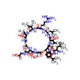 CC[C@H](C)[C@@H]1NC(=O)[C@@H](CCCNC(=N)N)NC(=O)[C@H](CC(C)C)NC(=O)[C@H]([C@H](O)C(C)C)NC(=O)[C@@H](NC(=O)[C@H](CC(C)C)NC(=O)[C@H](N)CC(C)C)[C@@H](c2ccccc2)OC(=O)[C@H](CO)NC(=O)[C@H]([C@H](O)C(=O)NCC(=O)O)NC(=O)CNC(=O)[C@H]([C@H](C)O)NC1=O